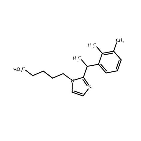 Cc1cccc(C(C)c2nccn2CCCCC(=O)O)c1C